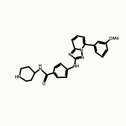 COc1cccc(-c2cccc3nc(Nc4ccc(C(=O)NC5CCNCC5)cc4)nn23)c1